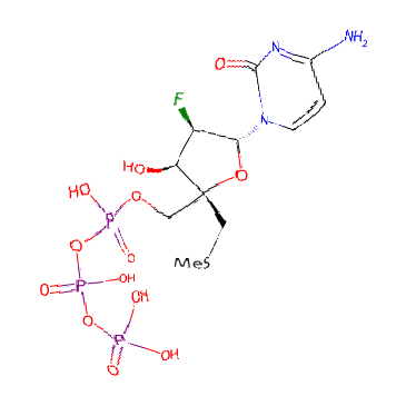 CSC[C@]1(COP(=O)(O)OP(=O)(O)OP(=O)(O)O)O[C@@H](n2ccc(N)nc2=O)[C@H](F)[C@@H]1O